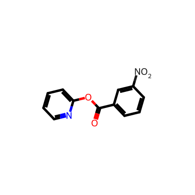 O=C(Oc1ccccn1)c1cccc([N+](=O)[O-])c1